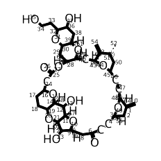 C=C1C[C@@H]2CCC(=O)C[C@H]3O[C@H]4C(O)[C@H]5OC(CCC5O[C@H]4C3O)CC(=O)O[C@@H]3CC4OC(CCO)C(O)C[C@@H]4O[C@H]3C[C@H]3OC(CC[C@@H]1O2)C[C@@H](C)C3=C